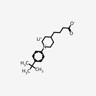 CC(C)(C)c1ccc(N2CCC(CCCC(=O)[O-])CC2)cc1.[Li+]